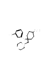 NC1CCC(Nc2cccc(Cl)c2)(C(=O)N2CCOCC2)CC1